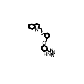 c1cc(COc2cccc(-c3nnn[nH]3)c2)cc(SCc2ccc3ccccc3n2)c1